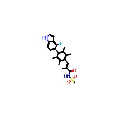 C/C(=C\c1c(C)c(C)c(-c2ccc3[nH]ccc3c2F)c(C)c1C)C(=O)NS(C)(=O)=O